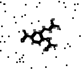 CC(=O)Oc1ccc(C(C)=O)cc1CC=C(C)C